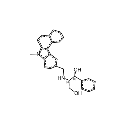 Cn1c2ccc(CN[C@@H](CO)[C@@H](O)c3ccccc3)cc2c2c3ccccc3ccc21